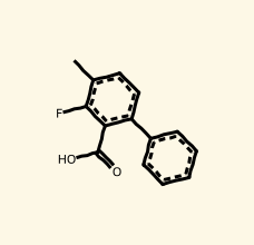 Cc1ccc(-c2ccccc2)c(C(=O)O)c1F